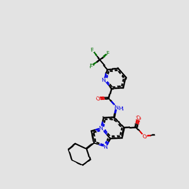 COC(=O)c1cc2nc(C3CCCCC3)cn2cc1NC(=O)c1cccc(C(F)(F)F)n1